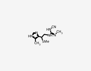 CN=C(NC#N)NCC(SC)c1nc[nH]c1C